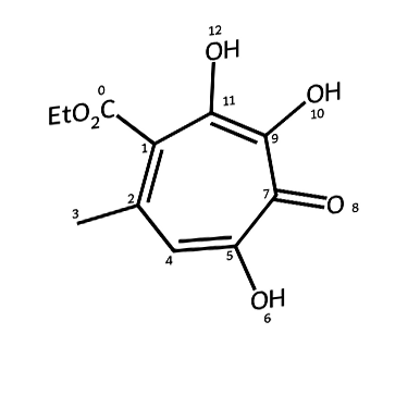 CCOC(=O)c1c(C)cc(O)c(=O)c(O)c1O